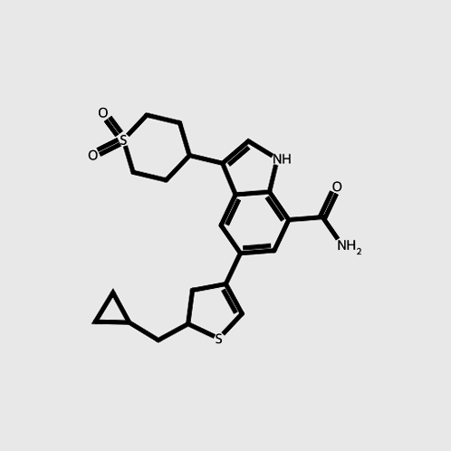 NC(=O)c1cc(C2=CSC(CC3CC3)C2)cc2c(C3CCS(=O)(=O)CC3)c[nH]c12